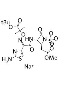 COC(=O)C[C@H]1[C@H](NC(=O)C(=NOC(C)(C)C(=O)OC(C)(C)C)c2csc(N)n2)C(=O)N1S(=O)(=O)[O-].[Na+]